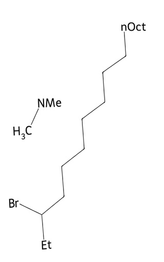 CCCCCCCCCCCCCCCC(Br)CC.CNC